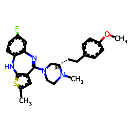 COc1ccc(CC[C@H]2CN(C3=Nc4cc(F)ccc4Nc4sc(C)cc43)CCN2C)cc1